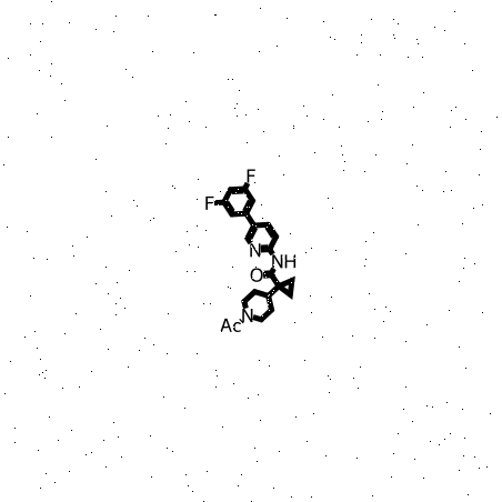 CC(=O)N1CCC(C2(C(=O)Nc3ccc(-c4cc(F)cc(F)c4)cn3)CC2)CC1